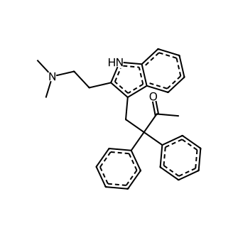 CC(=O)C(Cc1c(CCN(C)C)[nH]c2ccccc12)(c1ccccc1)c1ccccc1